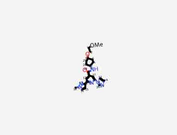 COCCOC1CCC(NC(=O)c2cc(-c3ccn(C)n3)nc(-n3ccnc3)c2)CC1